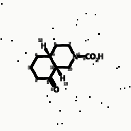 O=C1CCC[C@@H]2CCN(C(=O)O)C[C@H]12